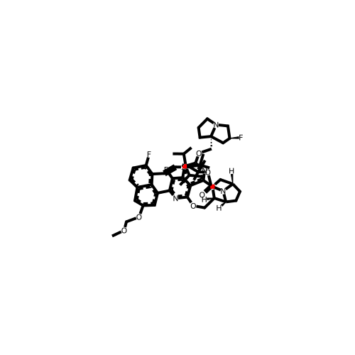 COCOc1cc(-c2nc3c4c(nc(OC[C@]56CCCN5C[C@@H](F)C6)nc4c2F)N2C[C@@H]4CC[C@H]([C@@H]2CO3)N4C(=O)OC(C)(C)C)c2c(C#C[Si](C(C)C)(C(C)C)C(C)C)c(F)ccc2c1